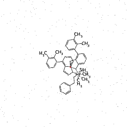 Cc1cccc(-c2cccc3c2C=C[CH]3[Hf]([CH3])([CH3])([CH3])(=[SiH2])([CH2]Cc2ccccc2)[CH]2C=Cc3c(-c4cccc(C)c4C)cccc32)c1C